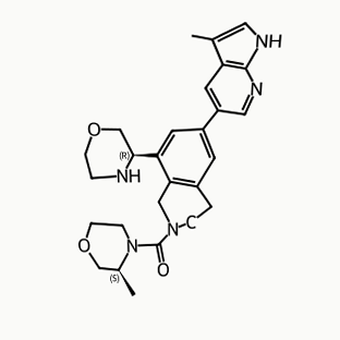 Cc1c[nH]c2ncc(-c3cc4c(c([C@@H]5COCCN5)c3)CN(C(=O)N3CCOC[C@@H]3C)CC4)cc12